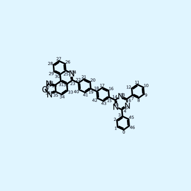 c1ccc(-c2nc(-c3ccccc3)nc(-c3ccc(-c4ccc(-c5nc6ccccc6c6c5ccc5nonc56)cc4)cc3)n2)cc1